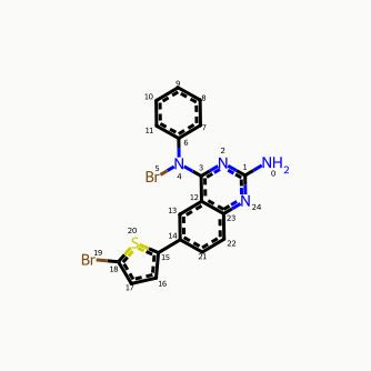 Nc1nc(N(Br)c2ccccc2)c2cc(-c3ccc(Br)s3)ccc2n1